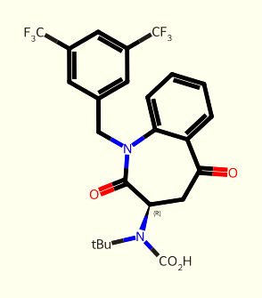 CC(C)(C)N(C(=O)O)[C@@H]1CC(=O)c2ccccc2N(Cc2cc(C(F)(F)F)cc(C(F)(F)F)c2)C1=O